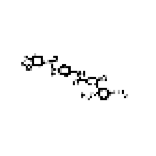 Cc1ccc(C)c(N2CC(C(=O)Nc3ccc(NC(=O)c4ccc5c(c4)OCO5)cc3)CC2=O)c1